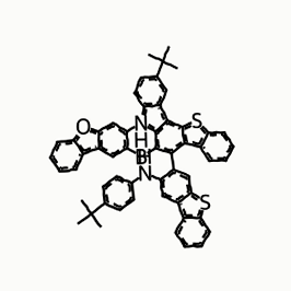 CC(C)(C)c1ccc(Nc2cc3c(cc2-c2c4c5c(c6cc(C(C)(C)C)ccc6n5-c5cc6oc7ccccc7c6cc5B4)c4sc5ccccc5c24)sc2ccccc23)cc1